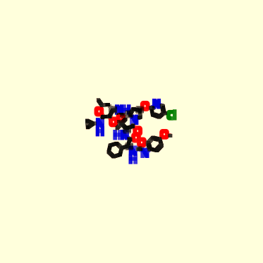 CCC[C@H](NC(=O)[C@@H]1C[C@@H](Oc2ccc(Cl)cn2)CN1C(=O)[C@@H](NC(=O)[C@@H](Nc1nc2ccc(OC)cc2o1)C1CCCCC1)C(C)(C)C)C(=O)C(=O)NC1CC1